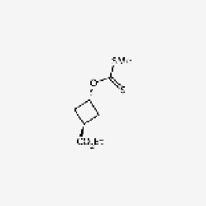 CCOC(=O)[C@H]1C[C@H](OC(=S)SC)C1